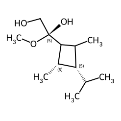 CO[C@](O)(CO)C1C(C)[C@H](C(C)C)[C@@H]1C